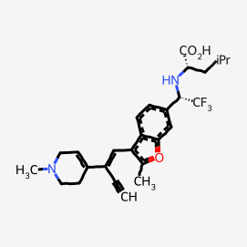 C#C/C(=C\c1c(C)oc2cc([C@H](N[C@@H](CC(C)C)C(=O)O)C(F)(F)F)ccc12)C1=CCN(C)CC1